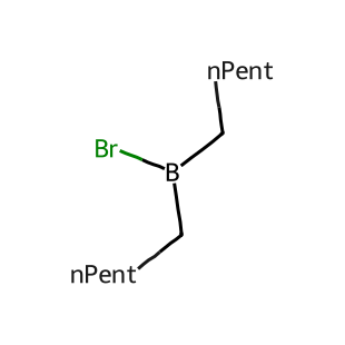 CCCCCCB(Br)CCCCCC